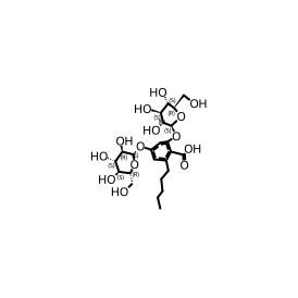 CCCCCc1cc(O[C@@H]2O[C@H](CO)[C@@H](O)[C@H](O)[C@H]2O)cc(O[C@@H]2O[C@H](CO)[C@@H](O)[C@H](O)[C@H]2O)c1C(=O)O